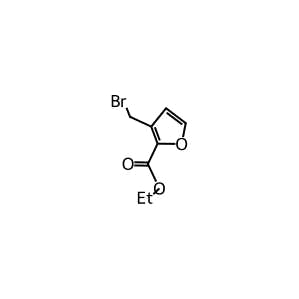 CCOC(=O)c1occc1CBr